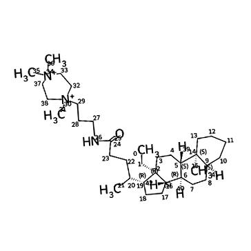 CC[C@]12CC[C@H]3[C@@H](CC[C@@H]4CCCC[C@@]43C)[C@@H]1CC[C@@H]2C(C)CCC(=O)NCCC[N+]1(C)CC[N+](C)(C)CC1